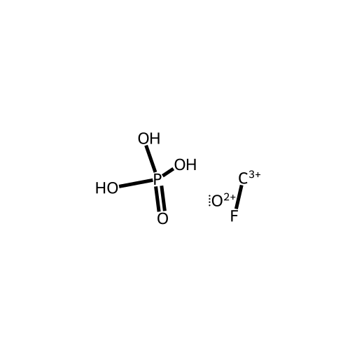 O=P(O)(O)O.[C+3]F.[O+2]